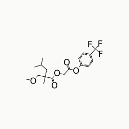 COCC(C)(CC(C)C)C(=O)OCC(=O)Oc1ccc(C(F)(F)F)cc1